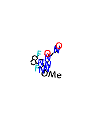 C#Cc1c(F)ccc2cccc(-c3ncc4c(N(C)C5CCN(C(=O)/C=C/CN6C7CCC6COC7)C5)nc(OC)nc4c3F)c12